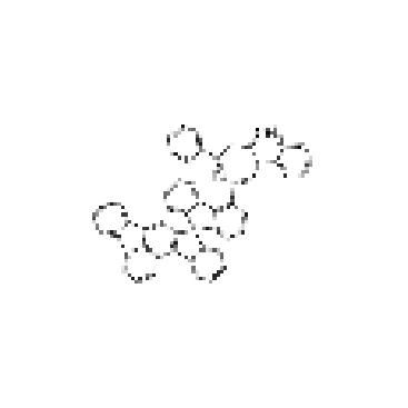 C=C1CC(c2ccccc2)=NC(c2cccc3c2-c2ccccc2C32c3ccccc3-c3c2cc2c4c(cccc34)-c3ccccc3-2)=CC1c1ccccc1